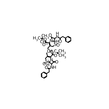 CC(C)(C)OC(=O)C1=C(COCC2=C(C(=O)OC(C)(C)C)N3C(=O)C(NC(=O)Cc4ccccc4)[C@@H]3[S+]([O-])C2)C[S+]([O-])[C@H]2C(NC(=O)Cc3ccccc3)C(=O)N12